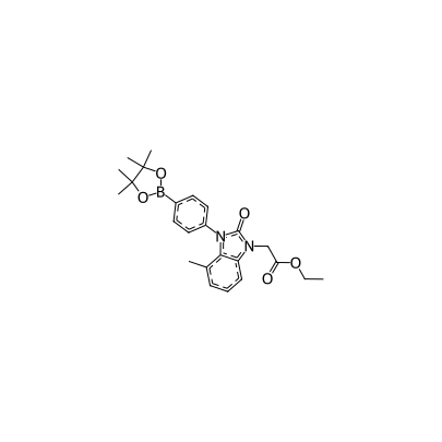 CCOC(=O)Cn1c(=O)n(-c2ccc(B3OC(C)(C)C(C)(C)O3)cc2)c2c(C)cccc21